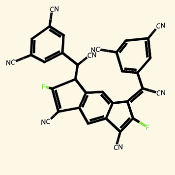 N#CC1=C(F)/C(=C(\C#N)c2cc(C#N)cc(C#N)c2)c2cc3c(cc21)C(C#N)=C(F)C3C(C#N)c1cc(C#N)cc(C#N)c1